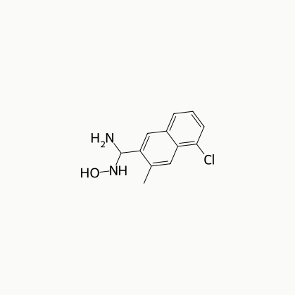 Cc1cc2c(Cl)cccc2cc1C(N)NO